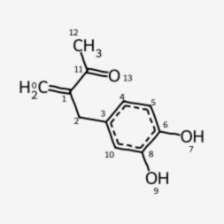 C=C(Cc1ccc(O)c(O)c1)C(C)=O